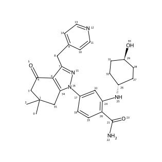 CC1(C)CC(=O)c2c(Cc3ccncc3)nn(-c3ccc(C(N)=O)c(N[C@H]4CC[C@H](O)CC4)c3)c2C1